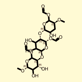 CO[C@@H]1OC(OC=O)[C@@H](O[C@@H]2O[C@@H](OC=O)[C@@H](O[C@@H]3OC(OC=O)[C@@H](OC)CC3O)C(O)C2O)[C@H](O)C1O